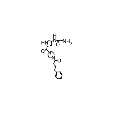 NCC(=O)NC1CN[C@H](C(=O)N2CCN(C(=O)CCCc3ccccc3)CC2)C1